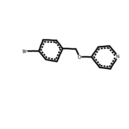 Brc1ccc(COc2ccncc2)cc1